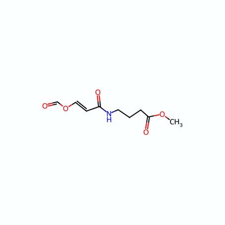 COC(=O)CCCNC(=O)/C=C/OC=O